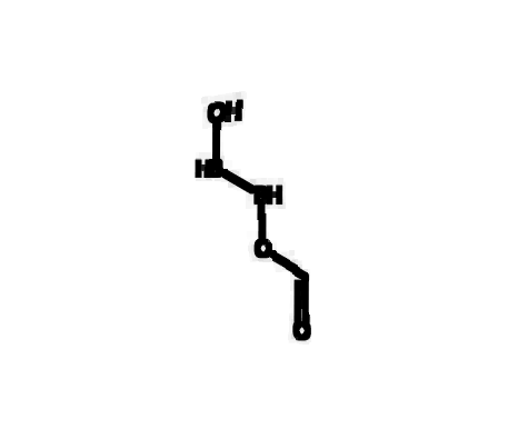 O=COBBO